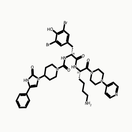 NCCCC[C@H](NC(=O)[C@@H](Cc1cc(Br)c(O)c(Br)c1)NC(=O)N1CCC(n2cc(-c3ccccc3)[nH]c2=O)CC1)C(=O)N1CCN(c2ccncc2)CC1